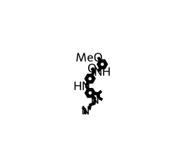 COc1cccc(NC(=O)c2ccc(Nc3ccc4c(c3)c(C)c(C)n4CCCN(C)C)cc2)c1